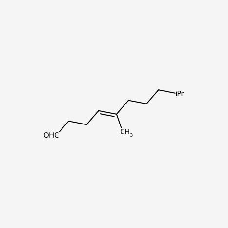 C/C(=C\CCC=O)CCCC(C)C